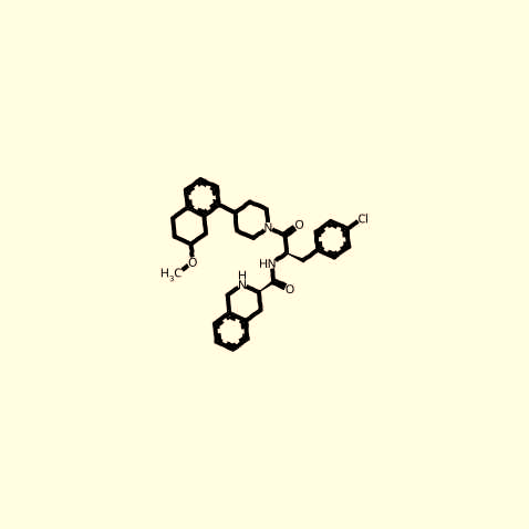 COC1CCc2cccc(C3CCN(C(=O)[C@@H](Cc4ccc(Cl)cc4)NC(=O)[C@H]4Cc5ccccc5CN4)CC3)c2C1